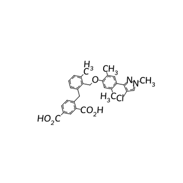 Cc1cc(-c2nn(C)cc2Cl)c(C)cc1OCc1c(C)cccc1Cc1ccc(C(=O)O)cc1C(=O)O